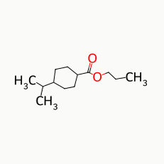 CCCOC(=O)C1CCC(C(C)C)CC1